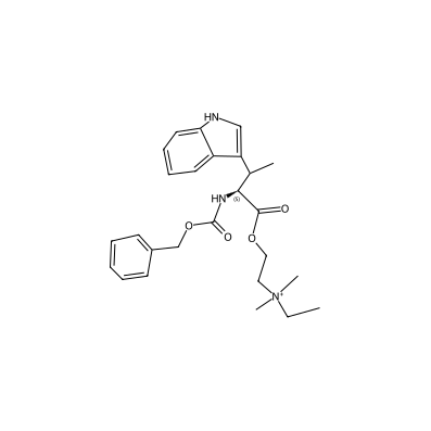 CC[N+](C)(C)CCOC(=O)[C@@H](NC(=O)OCc1ccccc1)C(C)c1c[nH]c2ccccc12